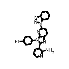 CCc1ccc(-n2c(-c3cccnc3N)nc3ccc(-n4nnc5ccccc54)nc32)cc1